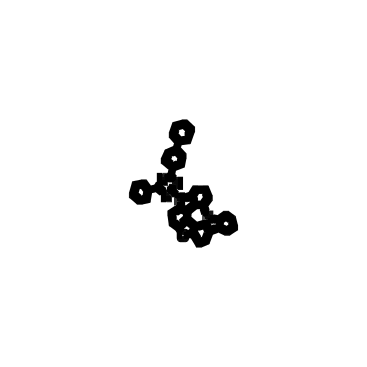 c1ccc(-c2ccc(-c3nc(-c4ccccc4)nc(-n4c5ccc6oc7ccc8c9ccccc9n9c%10cccc4c%10c5c6c7c89)n3)cc2)cc1